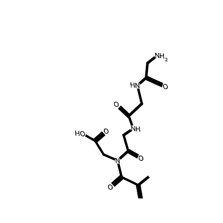 C=C(C)C(=O)N(CC(=O)O)C(=O)CNC(=O)CNC(=O)CN